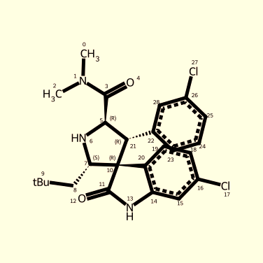 CN(C)C(=O)[C@@H]1N[C@@H](CC(C)(C)C)[C@@]2(C(=O)Nc3cc(Cl)ccc32)[C@H]1c1cccc(Cl)c1